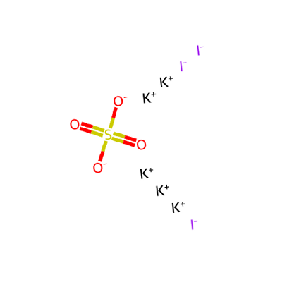 O=S(=O)([O-])[O-].[I-].[I-].[I-].[K+].[K+].[K+].[K+].[K+]